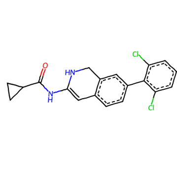 O=C(NC1=Cc2ccc(-c3c(Cl)cccc3Cl)cc2CN1)C1CC1